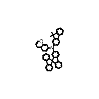 CC1(C)c2ccccc2-c2ccc(N(C3=CCC4=CC=COC4=C3)c3ccc4c(c3)C3(c5ccccc5-c5ccccc53)c3ccccc3-4)cc21